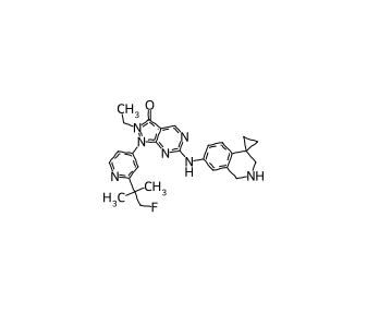 CCn1c(=O)c2cnc(Nc3ccc4c(c3)CNCC43CC3)nc2n1-c1ccnc(C(C)(C)CF)c1